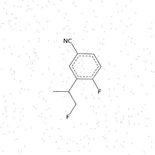 C[C](CF)c1cc(C#N)ccc1F